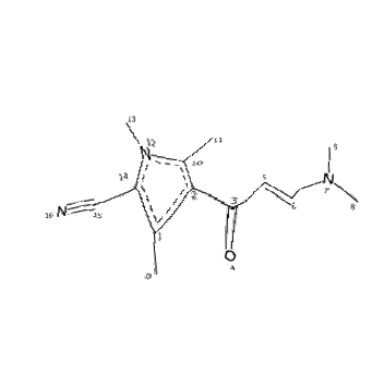 Cc1c(C(=O)/C=C/N(C)C)c(C)n(C)c1C#N